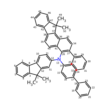 CC1(C)c2ccccc2-c2ccc(N(c3ccc(-c4ccccc4)cc3)c3c(-c4ccccc4)ccc4c5c(ccc34)-c3ccccc3C5(C)C)cc21